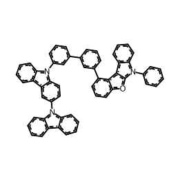 c1ccc(-n2c3ccccc3c3c4c(-c5cccc(-c6cccc(-n7c8ccccc8c8cc(-n9c%10ccccc%10c%10ccccc%109)ccc87)c6)c5)cccc4oc32)cc1